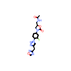 CC(=O)NCC1CN(c2ccc(-n3cc(Cc4ncon4)nn3)c(F)c2)C(=O)O1